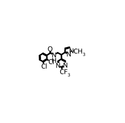 Cn1ccc(C(CNC(=O)c2cccc(Cl)c2Cl)c2cnc(C(F)(F)F)nc2)n1